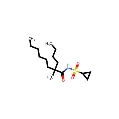 CCCCCCC(C)(CCCC)C(=O)NS(=O)(=O)C1CC1